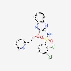 O=S(=O)(Nc1nc2ccccc2nc1OCCc1ccccn1)c1cccc(Cl)c1Cl